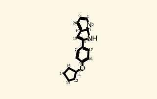 c1cnc2[nH]c(-c3ccc(OC4CCCC4)cc3)cc2c1